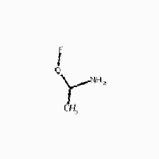 CC(N)OF